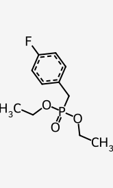 CCOP(=O)(Cc1ccc(F)cc1)OCC